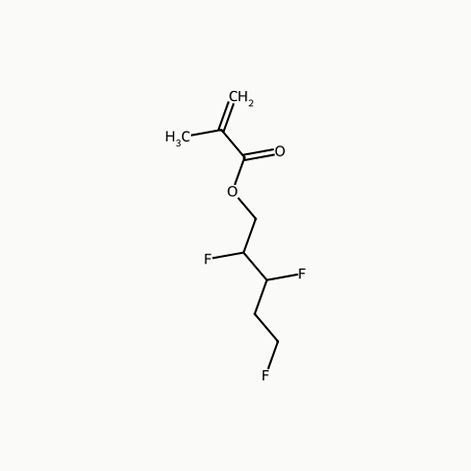 C=C(C)C(=O)OCC(F)C(F)CCF